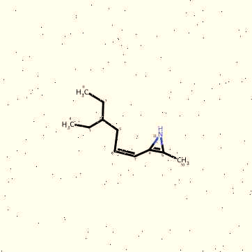 CCC(CC)C/C=C\C1=C(C)N1